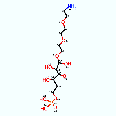 NCCOCCOCCOC(O)C(O)C(O)C(O)CCOP(=O)(O)O